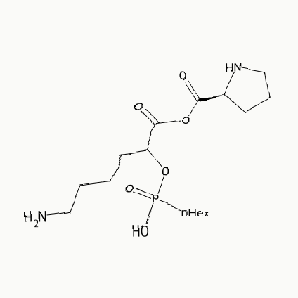 CCCCCCP(=O)(O)OC(CCCCN)C(=O)OC(=O)[C@@H]1CCCN1